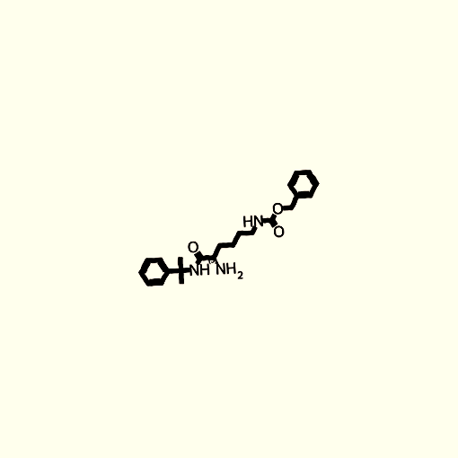 CC(C)(NC(=O)[C@@H](N)CCCCNC(=O)OCc1ccccc1)c1ccccc1